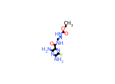 CCOC(=O)NN=CNC(=O)c1nc(F)c(N)nc1N